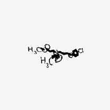 CCOC(=O)CCN(CCCOc1ccc(Cl)cc1)C(=O)CC